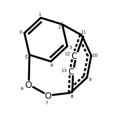 C1=C[C]2C=C[C]1OOc1ccc2cc1